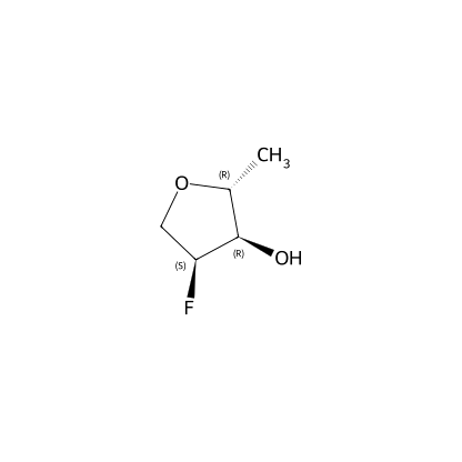 C[C@H]1OC[C@H](F)[C@@H]1O